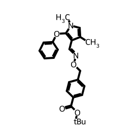 Cc1cn(C)c(Oc2ccccc2)c1C=NOCc1ccc(C(=O)OC(C)(C)C)cc1